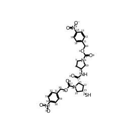 O=C(N[C@H]1CCN(C(=O)OCc2ccc([N+](=O)[O-])cc2)C1)[C@@H]1C[C@H](S)CN1C(=O)OCc1ccc([N+](=O)[O-])cc1